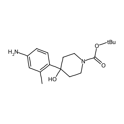 Cc1cc(N)ccc1C1(O)CCN(C(=O)OC(C)(C)C)CC1